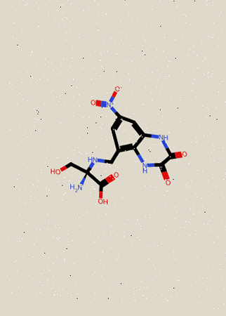 N[C@@](CO)(NCc1cc([N+](=O)[O-])cc2[nH]c(=O)c(=O)[nH]c12)C(=O)O